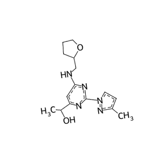 Cc1ccn(-c2nc(NCC3CCCO3)cc(C(C)O)n2)n1